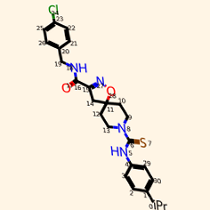 CC(C)c1ccc(NC(=S)N2CCC3(CC2)CC(C(=O)NCc2ccc(Cl)cc2)=NO3)cc1